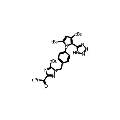 CCCCc1nc(C(=O)CCC)nn1Cc1ccc(-n2c(C(C)(C)C)cc(C(C)(C)C)c2-c2nnn[nH]2)cc1